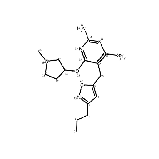 CCCc1cc(Cc2c(N)nc(N)nc2OC2CCN(C)C2)on1